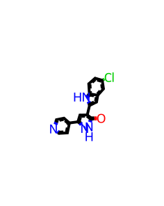 O=c1[nH]nc(-c2ccncc2)cc1-c1cc2cc(Cl)ccc2[nH]1